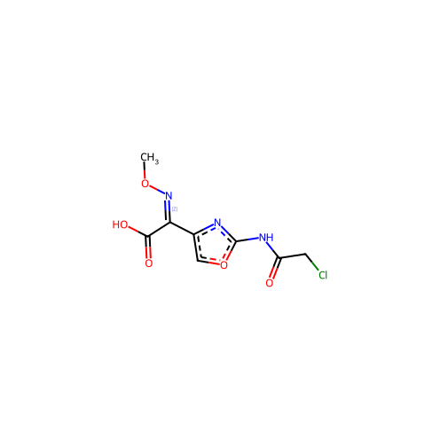 CO/N=C(\C(=O)O)c1coc(NC(=O)CCl)n1